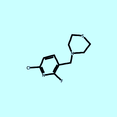 Fc1nc(Cl)ccc1CN1CCSCC1